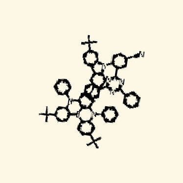 CC(C)(C)c1ccc2c(c1)N(c1ccccc1)c1cc(-c3ccc4c(c3)c3ccc(C(C)(C)C)cc3n4-c3ccc(C#N)cc3-c3nc(-c4ccccc4)nc(-c4ccccc4)n3)cc3c1B2c1ccc(C(C)(C)C)cc1N3c1ccccc1